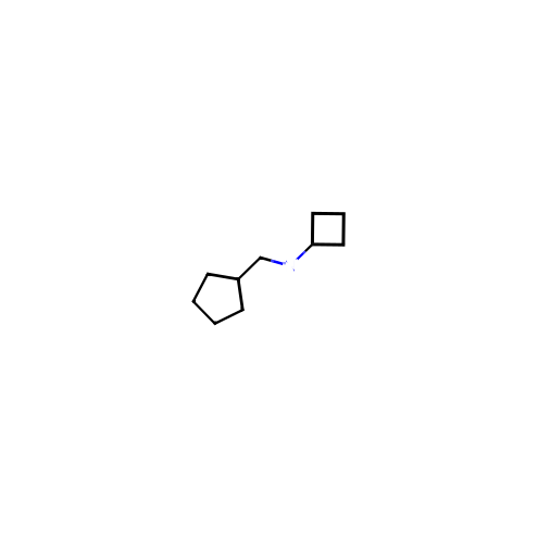 C1CCC(CNC2CCC2)C1